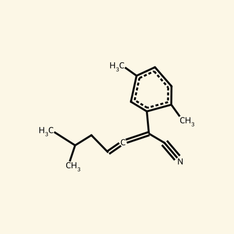 Cc1ccc(C)c(C(=C=CCC(C)C)C#N)c1